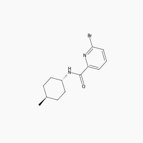 C[C@H]1CC[C@H](NC(=O)c2cccc(Br)n2)CC1